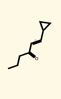 CCCC(=O)/C=C/C1CC1